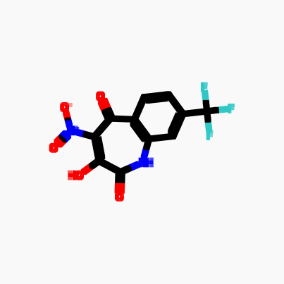 O=c1[nH]c2cc(C(F)(F)F)ccc2c(=O)c([N+](=O)[O-])c1O